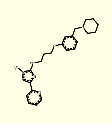 Cn1nc(-c2ccccn2)nc1NCCCOc1cccc(CN2CCCCC2)c1